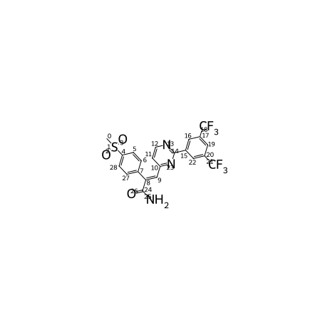 CS(=O)(=O)c1ccc(/C(=C\c2ccnc(-c3cc(C(F)(F)F)cc(C(F)(F)F)c3)n2)C(N)=O)cc1